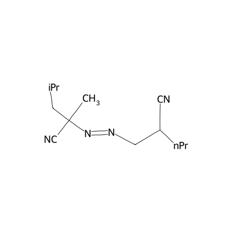 CCCC(C#N)CN=NC(C)(C#N)CC(C)C